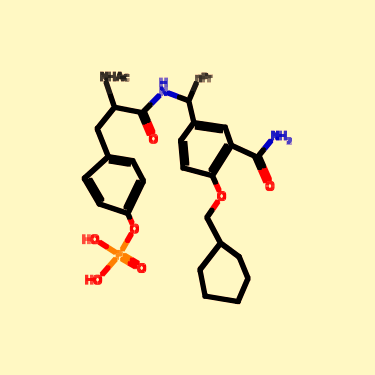 CCCC(NC(=O)C(Cc1ccc(OP(=O)(O)O)cc1)NC(C)=O)c1ccc(OCC2CCCCC2)c(C(N)=O)c1